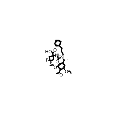 CCOc1cc([C@@H](C)N(CCCc2ccccc2)C(=O)NC2(C(=O)O)CC(F)(F)C2)cc(OCC)c1C(C)=O